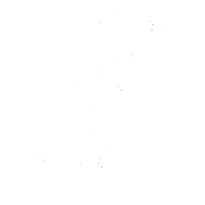 Cc1cc(NC(=O)OC(C)(C)C)ccc1NC(=O)c1cc(N)ccc1Cl